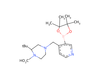 CC(C)(C)C1CN(Cc2ccncc2B2OC(C)(C)C(C)(C)O2)CCN1C(=O)O